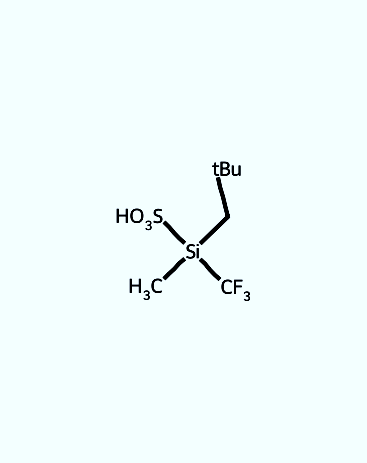 CC(C)(C)C[Si](C)(C(F)(F)F)S(=O)(=O)O